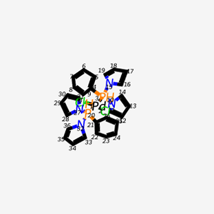 [Cl][Pd]([Cl])([PH](c1ccccc1)(n1cccc1)n1cccc1)[PH](c1ccccc1)(n1cccc1)n1cccc1